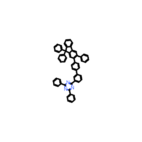 c1ccc(-c2nc(-c3ccccc3)nc(-c3cccc(-c4ccc(-c5cc6c(cc5-c5ccccc5)-c5ccccc5C6(c5ccccc5)c5ccccc5)cc4)c3)n2)cc1